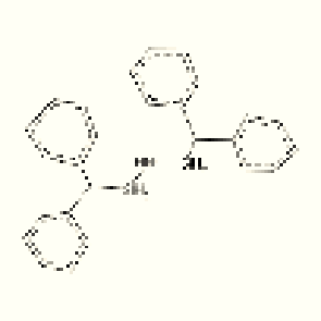 c1ccc(C([SiH2]N[SiH2]C(c2ccccc2)c2ccccc2)c2ccccc2)cc1